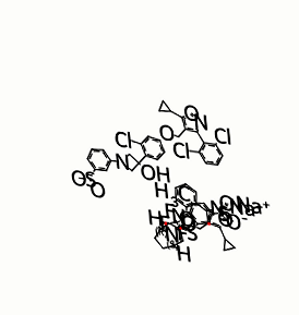 Cc1cc(S(=O)[O-])cc2sc(N3[C@@H]4CC[C@H]3CC(OCc3c(-c5ccccc5OC(F)(F)F)noc3C3CC3)C4)nc12.O=S([O-])c1cccc(N2CC(O)(c3ccc(OCc4c(-c5c(Cl)cccc5Cl)noc4C4CC4)cc3Cl)C2)c1.[Na+].[Na+]